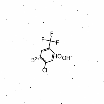 [B+2]c1cc(C(F)(F)F)ccc1Cl.[OH-].[OH-]